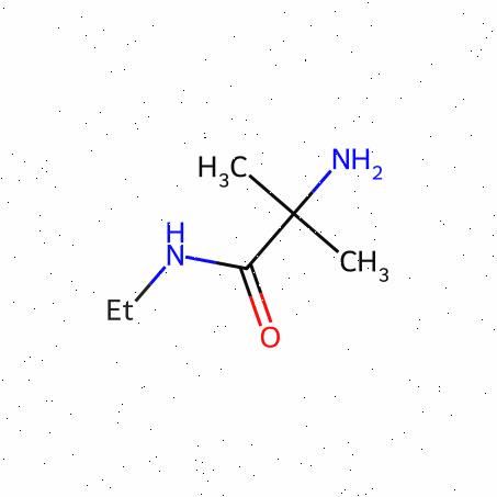 [CH2]CNC(=O)C(C)(C)N